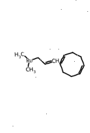 C1=CCCC=CCC1.C=C[CH2][Ru]([CH3])[CH3]